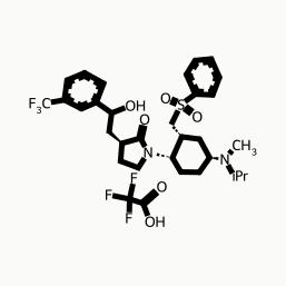 CC(C)N(C)[C@@H]1CC[C@H](N2CC[C@@H](CC(O)c3cccc(C(F)(F)F)c3)C2=O)[C@H](CS(=O)(=O)c2ccccc2)C1.O=C(O)C(F)(F)F